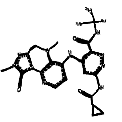 [2H]C([2H])([2H])NC(=O)c1nnc(NC(=O)C2CC2)cc1Nc1ccnc2c1N(C)Cc1nn(C)c(=O)n1-2